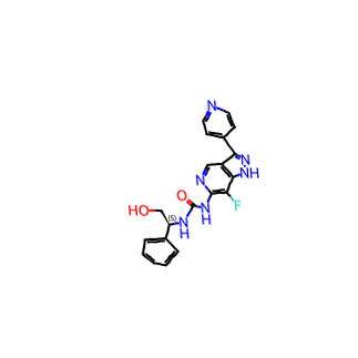 O=C(Nc1ncc2c(-c3ccncc3)n[nH]c2c1F)N[C@H](CO)c1ccccc1